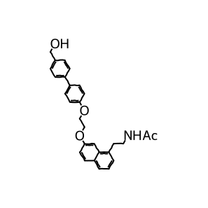 CC(=O)NCCc1cccc2ccc(OCCOc3ccc(-c4ccc(CO)cc4)cc3)cc12